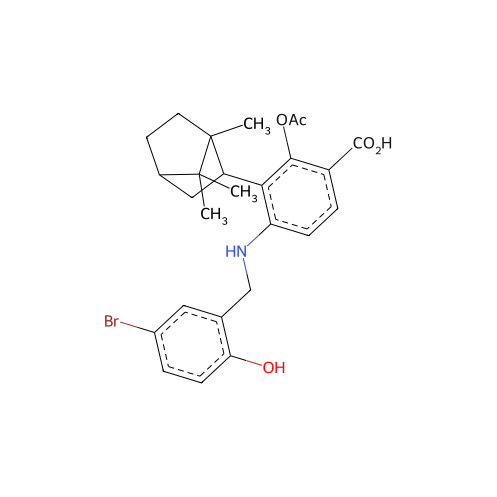 CC(=O)Oc1c(C(=O)O)ccc(NCc2cc(Br)ccc2O)c1C1CC2CCC1(C)C2(C)C